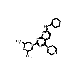 CC1CN(c2nc(N3CCOCC3)c3ccc(NC4CCCCC4)nc3n2)CC(C)O1